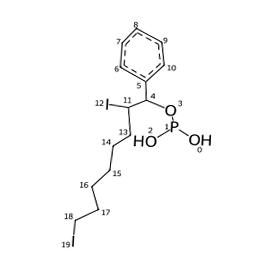 OP(O)OC(c1ccccc1)C(I)CCCCCCI